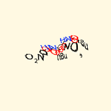 CCCCOC(=O)C(CC(CCNC(=O)OC(C)(C)C)O[N+](=O)[O-])NC(=O)Oc1ccc([N+](=O)[O-])cc1